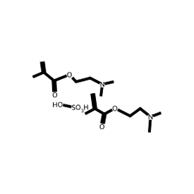 C=C(C)C(=O)OCCN(C)C.C=C(C)C(=O)OCCN(C)C.O=S(=O)(O)O